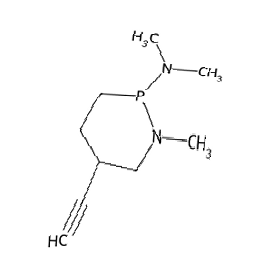 C#CC1CCP(N(C)C)N(C)C1